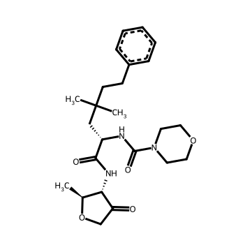 C[C@@H]1OCC(=O)[C@H]1NC(=O)[C@H](CC(C)(C)CCc1ccccc1)NC(=O)N1CCOCC1